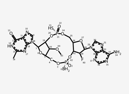 B[P@]1(=O)OCC2OC(n3cnc4c(=O)[nH]c(C)nc43)C(O[P@](=O)(S)OCC3OC(n4cnc5c(N)ncnc54)C(F)C3O1)C2OC